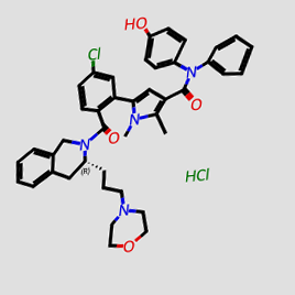 Cc1c(C(=O)N(c2ccccc2)c2ccc(O)cc2)cc(-c2cc(Cl)ccc2C(=O)N2Cc3ccccc3C[C@H]2CCCN2CCOCC2)n1C.Cl